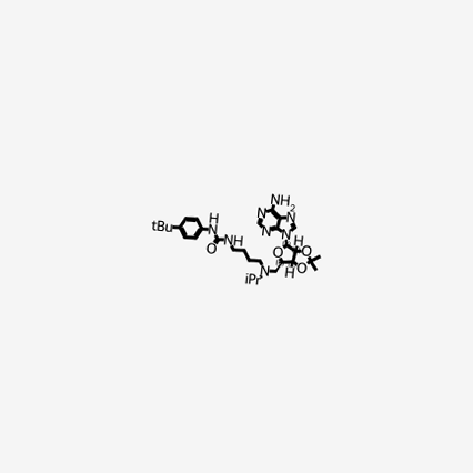 CC(C)N(CCCCNC(=O)Nc1ccc(C(C)(C)C)cc1)C[C@H]1O[C@@H](n2cnc3c(N)ncnc32)[C@@H]2OC(C)(C)O[C@@H]21